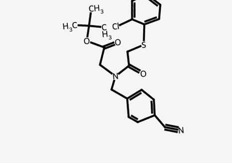 CC(C)(C)OC(=O)CN(Cc1ccc(C#N)cc1)C(=O)CSc1ccccc1Cl